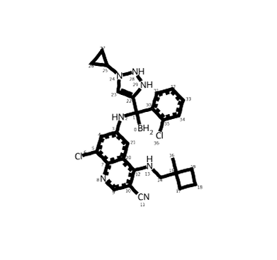 BC(Nc1cc(Cl)c2ncc(C#N)c(NCC3(C)CCC3)c2c1)(C1=CN(C2CC2)NN1)c1ccccc1Cl